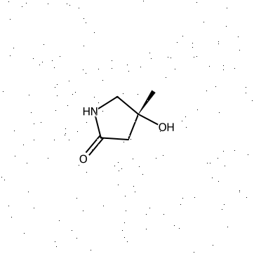 C[C@]1(O)CNC(=O)C1